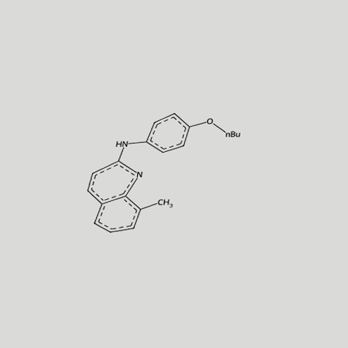 CCCCOc1ccc(Nc2ccc3cccc(C)c3n2)cc1